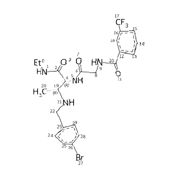 CCNC(=O)[C@H](NC(=O)CNC(=O)c1cccc(C(F)(F)F)c1)[C@@H](C)NCc1ccc(Br)cc1